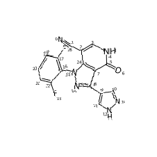 N#Cc1c[nH]c(=O)c2c(-c3cn[nH]c3)nn(-c3c(F)cccc3F)c12